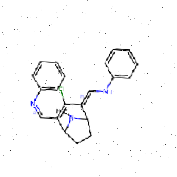 CN1C2CCC1/C(=C\Nc1ccccc1)C(Cl)=C2/C=N\c1ccccc1